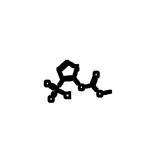 COC(=O)Oc1sccc1S(=O)(=O)Cl